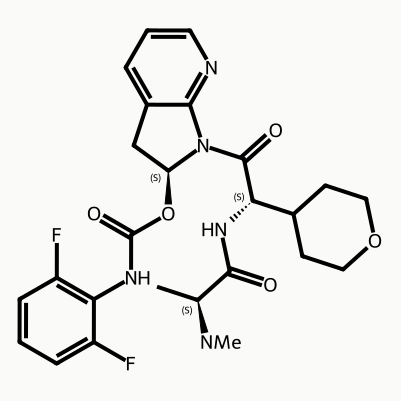 CN[C@@H](C)C(=O)N[C@H](C(=O)N1c2ncccc2C[C@@H]1OC(=O)Nc1c(F)cccc1F)C1CCOCC1